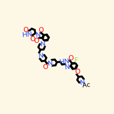 CC(=O)N1CCC(COc2cc(F)c3c(=O)[nH]c(CCC4CCN(C(=O)C5CCN(CC6CCN(c7cccc8c7C(=O)N(C7CCC(=O)NC7=O)C8=O)CC6)CC5)CC4)nc3c2)CC1